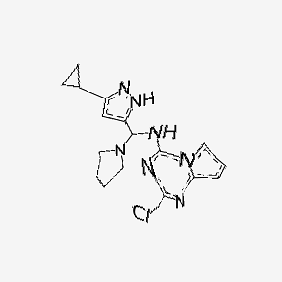 Clc1nc(NC(c2cc(C3CC3)n[nH]2)N2CCCC2)n2cccc2n1